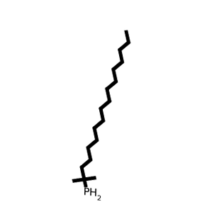 CCCCCCCCCCCCCCCC(C)(C)P